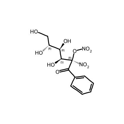 O=C(c1ccccc1)[C@](O[N+](=O)[O-])([C@@H](O)[C@H](O)[C@H](O)CO)[N+](=O)[O-]